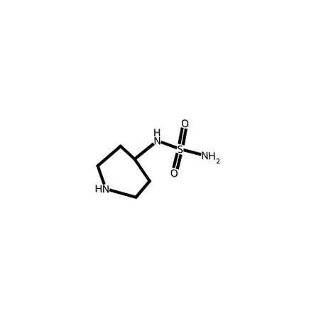 NS(=O)(=O)NC1CCNCC1